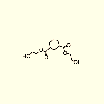 O=C(OCCO)C1CCCC(C(=O)OCCO)C1